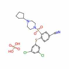 N#Cc1ccc(Sc2cc(Cl)cc(Cl)c2)c(S(=O)(=O)N2CCN(C3CCCC3)CC2)c1.O=S(=O)(O)O